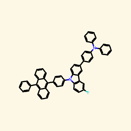 Fc1ccc2c(c1)c1cc(-c3ccc(N(c4ccccc4)c4ccccc4)cc3)ccc1n2-c1ccc(-c2c3ccccc3c(-c3ccccc3)c3ccccc23)cc1